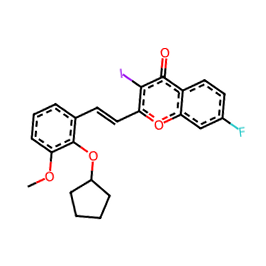 COc1cccc(C=Cc2oc3cc(F)ccc3c(=O)c2I)c1OC1CCCC1